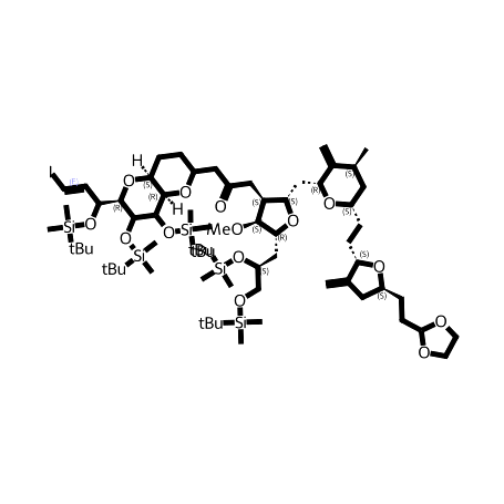 C=C1C[C@H](CCC2OCCO2)O[C@H]1CC[C@H]1C[C@H](C)C(=C)[C@@H](C[C@@H]2O[C@H](C[C@@H](CO[Si](C)(C)C(C)(C)C)O[Si](C)(C)C(C)(C)C)[C@@H](OC)[C@H]2CC(=O)CC2CC[C@@H]3O[C@H](C(/C=C/I)O[Si](C)(C)C(C)(C)C)C(O[Si](C)(C)C(C)(C)C)C(O[Si](C)(C)C(C)(C)C)[C@@H]3O2)O1